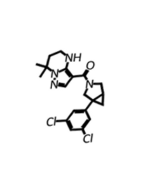 CC1(C)CCNc2c(C(=O)N3CC4CC4(c4cc(Cl)cc(Cl)c4)C3)cnn21